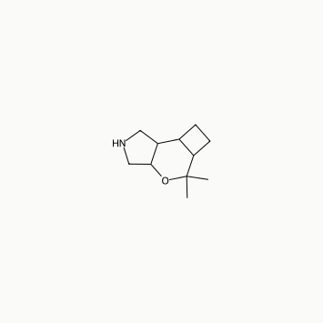 CC1(C)OC2CNCC2C2CCC21